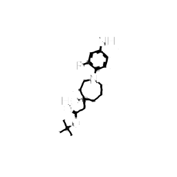 CC(C)(C)OC(=O)C[C@@]1(O)CCCN(c2ccc(N)cc2F)CC1